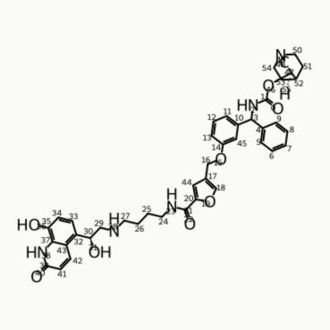 O=C(NC(c1ccccc1)c1cccc(OCc2coc(C(=O)NCCCCNC[C@@H](O)c3ccc(O)c4[nH]c(=O)ccc34)c2)c1)O[C@H]1CN2CCC1CC2